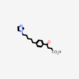 O=C(O)CCC(=O)c1ccc(CCCCCn2ccnc2)cc1